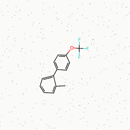 [CH2]c1ccccc1-c1ccc(OC(F)(F)F)cc1